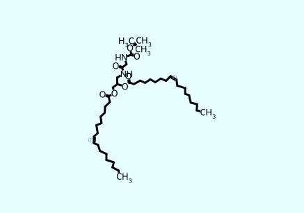 CCCCCCCC/C=C\CCCCCCCC(=O)OCC(CNC(=O)CNC(=O)OC(C)(C)C)OC(=O)CCCCCCC/C=C\CCCCCCCC